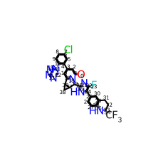 O=c1cc(-c2cc(Cl)ccc2-n2cnnn2)cc2n1C(c1nc(F)c(-c3ccc4c(c3)CCC(C(F)(F)F)N4)[nH]1)C1CC21